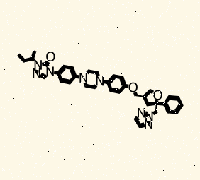 CCC(C)n1ncn(-c2ccc(N3CCN(c4ccc(OC[C@H]5CO[C@](Cn6nccn6)(c6ccccc6)C5)cc4)CC3)cc2)c1=O